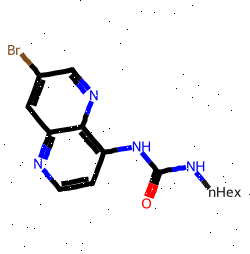 CCCCCCNC(=O)Nc1ccnc2cc(Br)cnc12